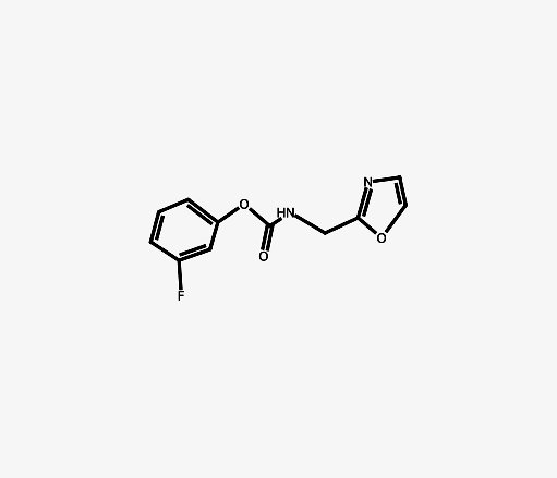 O=C(NCc1ncco1)Oc1cccc(F)c1